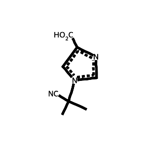 CC(C)(C#N)n1cnc(C(=O)O)c1